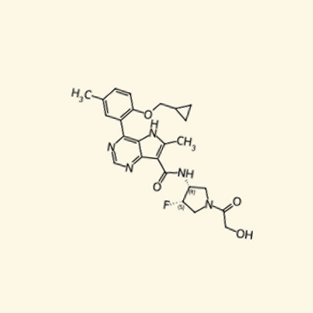 Cc1ccc(OCC2CC2)c(-c2ncnc3c(C(=O)N[C@@H]4CN(C(=O)CO)C[C@@H]4F)c(C)[nH]c23)c1